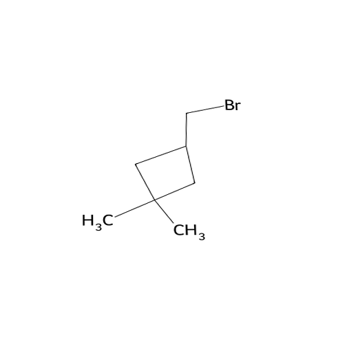 CC1(C)CC(CBr)C1